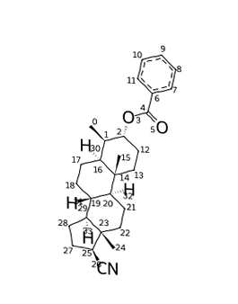 C[C@H]1[C@H](OC(=O)c2ccccc2)CC[C@@]2(C)[C@H]1CC[C@@H]1[C@@H]2CC[C@]2(C)[C@@H](C#N)CC[C@@H]12